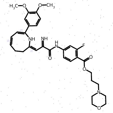 COc1ccc(/C2=C/C=C\CC/C(=C/C(=N)C(=O)Nc3ccc(C(=O)OCCCN4CCOCC4)c(F)c3)N2)cc1OC